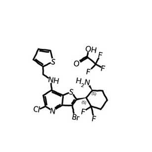 N[C@H]1CCCC(F)(F)[C@H]1c1sc2c(NCc3cccs3)cc(Cl)nc2c1Br.O=C(O)C(F)(F)F